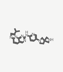 CC(C)c1cnc2ccc3cnc(Nc4ccc(N5CCC6(CNC6)C5)cn4)nc3n12